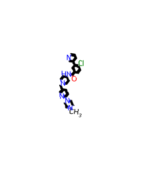 CN1CCN(c2ccc(CN3CCC(NC(=O)c4ccc(Cl)c(-c5cccnc5)c4)CC3)cn2)CC1